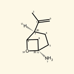 C=C(C)[C@H]1CC[C@]2(N)CC1O2